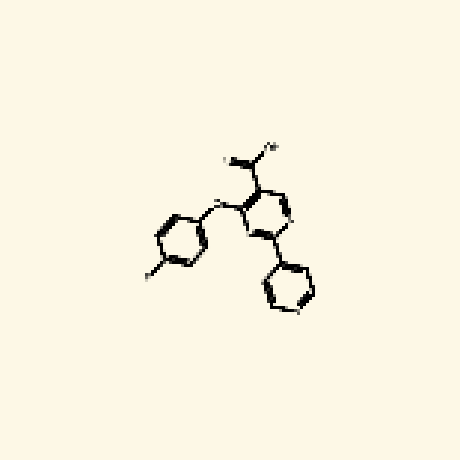 O=C(O)c1cnc(-c2ccncc2)nc1Oc1ccc(F)cc1